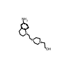 Nc1ccc2c(c1)CCCN2CCN1CCN(CCO)CC1